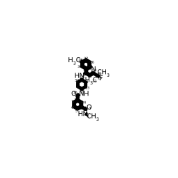 CNC(=O)c1cccc(C(=O)NC2CCC(Nc3cc(C(C)(C)F)nc4ccc(C)cc34)CC2)c1